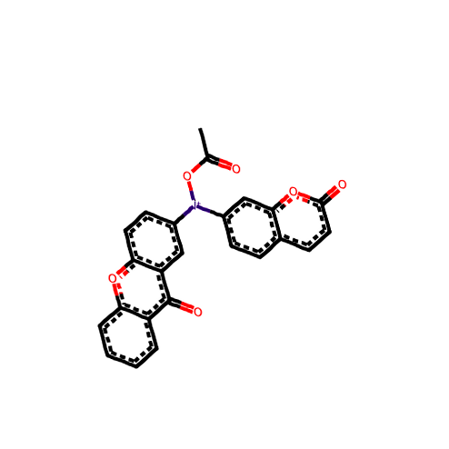 CC(=O)O[I+](c1ccc2ccc(=O)oc2c1)c1ccc2oc3ccccc3c(=O)c2c1